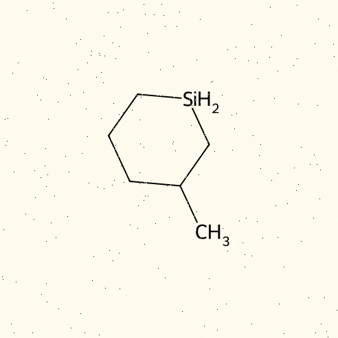 CC1CCC[SiH2]C1